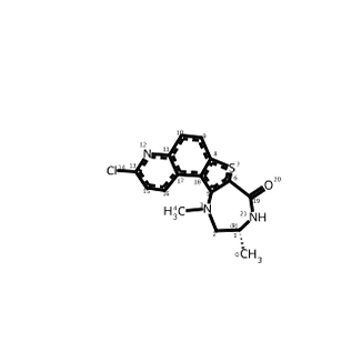 C[C@@H]1CN(C)c2c(sc3ccc4nc(Cl)ccc4c23)C(=O)N1